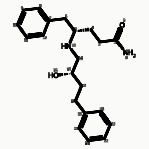 NC(=O)CC[C@@H](Cc1ccccc1)NC[C@@H](O)[CH]Cc1ccccc1